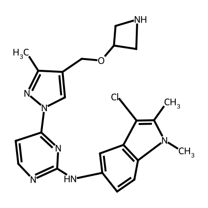 Cc1nn(-c2ccnc(Nc3ccc4c(c3)c(Cl)c(C)n4C)n2)cc1COC1CNC1